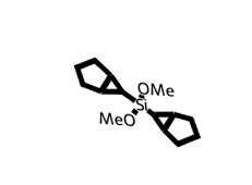 CO[Si](OC)(C1C2CCCC21)C1C2CCCC21